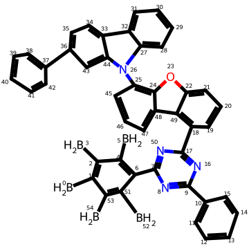 Bc1c(B)c(B)c(-c2nc(-c3ccccc3)nc(-c3cccc4oc5c(-n6c7ccccc7c7ccc(-c8ccccc8)cc76)cccc5c34)n2)c(B)c1B